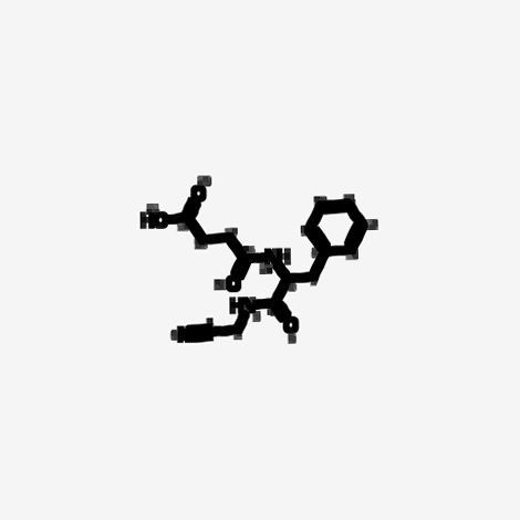 N#CCNC(=O)C(Cc1ccccc1)NC(=O)CCC(=O)O